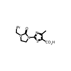 Cc1nc(N2CCN(CC(C)C)C2=O)sc1C(=O)O